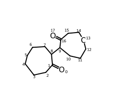 O=C1CCCCCCC1C1CCCCCCC1=O